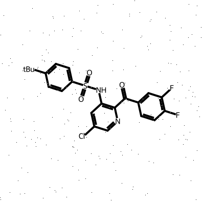 CC(C)(C)c1ccc(S(=O)(=O)Nc2cc(Cl)cnc2C(=O)c2ccc(F)c(F)c2)cc1